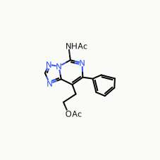 CC(=O)Nc1nc(-c2ccccc2)c(CCOC(C)=O)c2ncnn12